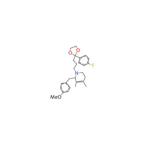 COc1ccc(CC2C(C)=C(C)CCN2CCCC2(c3ccc(F)cc3)OCCO2)cc1